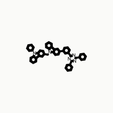 c1ccc(-c2nc(-c3ccccc3)nc(-c3cccc(-c4ccc5c(c4)c4ccccc4n5Cc4ccc5c(c4)c4ccccc4n5-c4ccccc4)c3)n2)cc1